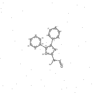 CN(C=O)c1nc(-c2ccccc2)c(-c2ccccc2)o1